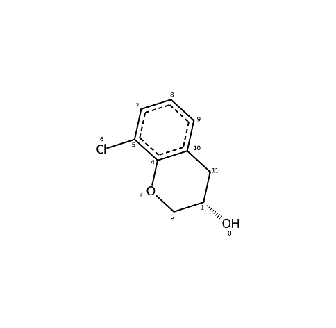 O[C@@H]1COc2c(Cl)cccc2C1